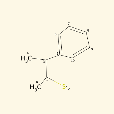 CC([S])C(C)c1ccccc1